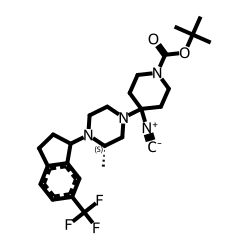 [C-]#[N+]C1(N2CCN(C3CCc4ccc(C(F)(F)F)cc43)[C@@H](C)C2)CCN(C(=O)OC(C)(C)C)CC1